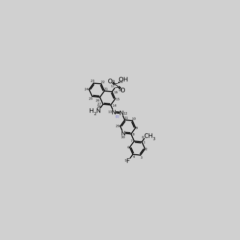 Cc1ccc(F)cc1-c1ccc(/N=N/c2cc(S(=O)(=O)O)c3ccccc3c2N)cn1